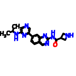 CC(C)Nc1cncc(-c2ccc3cnc(NC(=O)C4CNC4)nc3c2)n1